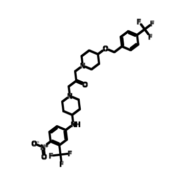 O=C(CN1CCC(Nc2ccc([N+](=O)[O-])c(C(F)(F)F)c2)CC1)CN1CCC(OCc2ccc(C(F)(F)F)cc2)CC1